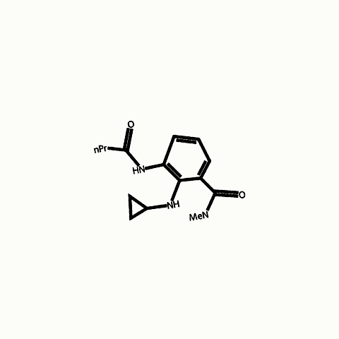 CCCC(=O)Nc1cccc(C(=O)NC)c1NC1CC1